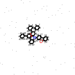 C1=CC(c2ccccc2)=C(C2=CC=C(N(c3ccc4c(c3)oc3ccccc34)c3ccccc3-c3cccc(-c4ccccc4)c3)CC2)CC1